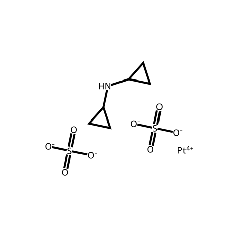 C1CC1NC1CC1.O=S(=O)([O-])[O-].O=S(=O)([O-])[O-].[Pt+4]